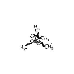 CCCO[SiH](OCCC)C(C)C(Cl)CC